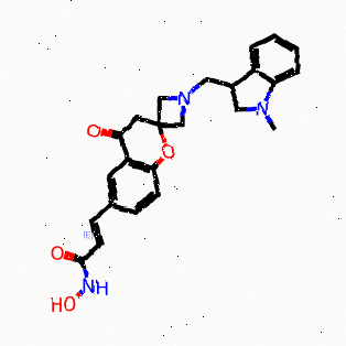 CN1CC(CN2CC3(CC(=O)c4cc(/C=C/C(=O)NO)ccc4O3)C2)c2ccccc21